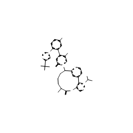 CC1CCCC(n2cc(F)c(-c3cc(Cl)ccc3-n3cc(C(F)(F)F)nn3)cc2=O)c2cc(ccn2)-c2c(cnn2C(F)F)NC1=O